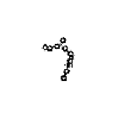 c1ccc(-c2ccc(-c3nc4cc5oc6ccc(-c7ccc(N(c8ccccc8)c8ccc(-c9ccc%10ccccc%10c9)cc8)cc7)cc6c5cc4o3)cc2)cc1